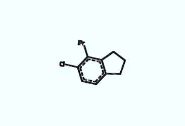 CC(C)c1c(Cl)ccc2c1CCC2